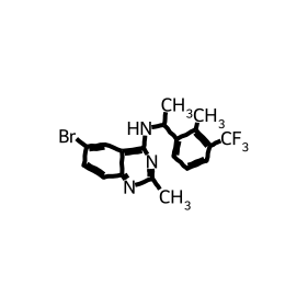 Cc1nc(NC(C)c2cccc(C(F)(F)F)c2C)c2cc(Br)ccc2n1